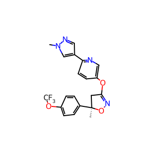 Cn1cc(-c2ccc(OC3=NO[C@@](C)(c4ccc(OC(F)(F)F)cc4)C3)cn2)cn1